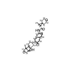 C[C@@H]1[C@@H](C(=O)Nc2cc3cc(C4CCN([C@@]5(C)COC[C@H]5O)CC4)c(Cl)cc3cn2)C12CCOCC2